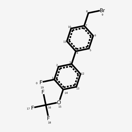 Fc1cc(-c2ccc(CBr)cc2)ccc1OC(F)(F)F